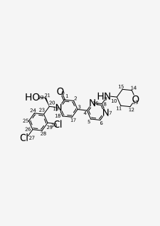 O=c1cc(-c2ccnc(NC3CCOCC3)n2)ccn1[C@H](CO)c1ccc(Cl)cc1Cl